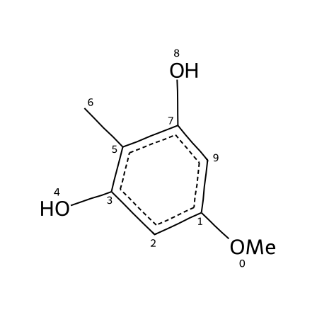 COc1cc(O)c(C)c(O)c1